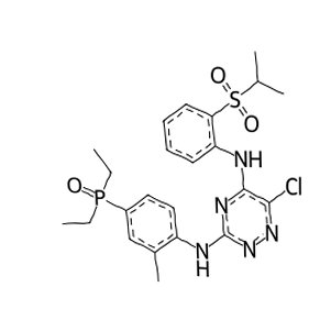 CCP(=O)(CC)c1ccc(Nc2nnc(Cl)c(Nc3ccccc3S(=O)(=O)C(C)C)n2)c(C)c1